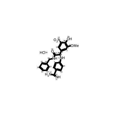 COc1cc([C@@H](Nc2ccc(C(=N)N)cc2)C(=O)NCc2ccccc2)cc([N+](=O)[O-])c1O.Cl